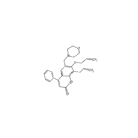 C=CCOc1c(CN2CCOCC2)cc2c(-c3ccccc3)cc(=O)oc2c1CC=C